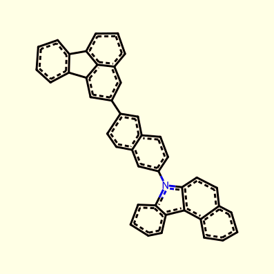 c1ccc2c(c1)-c1cccc3cc(-c4ccc5cc(-n6c7ccccc7c7c8ccccc8ccc76)ccc5c4)cc-2c13